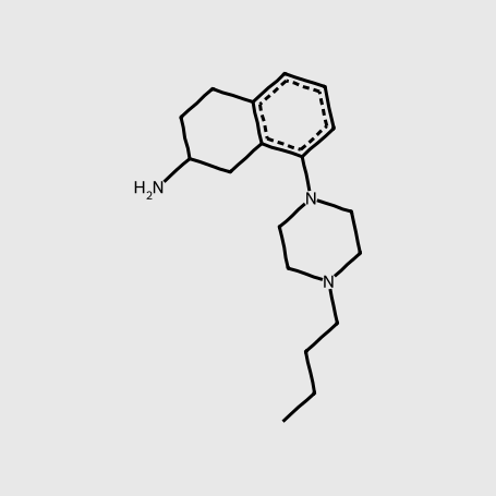 CCCCN1CCN(c2cccc3c2CC(N)CC3)CC1